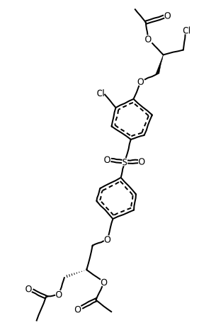 CC(=O)OC[C@H](COc1ccc(S(=O)(=O)c2ccc(OC[C@H](CCl)OC(C)=O)c(Cl)c2)cc1)OC(C)=O